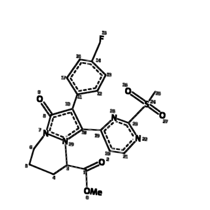 COC(=O)C1CCCn2c(=O)c(-c3ccc(F)cc3)c(-c3ccnc(S(C)(=O)=O)n3)n21